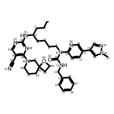 CCCC(CCCCN(C(=O)NCc1ccccc1)c1ccc(-c2cnn(C)c2)cn1)Nc1ncc(C#N)c(N2CCCC3(CCO3)C2)n1